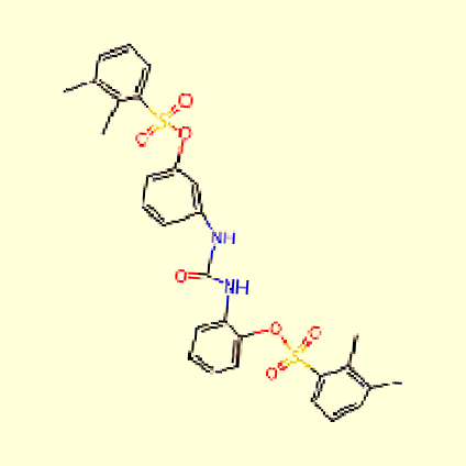 Cc1cccc(S(=O)(=O)Oc2cccc(NC(=O)Nc3ccccc3OS(=O)(=O)c3cccc(C)c3C)c2)c1C